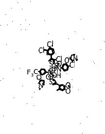 CN1CC[C@@H](Oc2cc(NS(=O)(=O)c3scc(-c4ccc(Cl)c(Cl)c4)c3Cl)ccc2Cl)C1.Cc1cc2c(cc1-c1csc(S(=O)(=O)N(Cl)c3ccc(C(F)(F)F)c(O[C@@H]4CCN(C)C4)c3)c1)OCO2